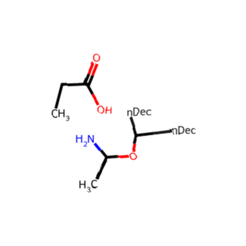 CCC(=O)O.CCCCCCCCCCC(CCCCCCCCCC)OC(C)N